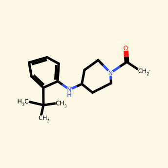 [CH2]C(=O)N1CCC(Nc2ccccc2C(C)(C)C)CC1